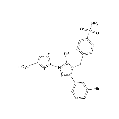 NS(=O)(=O)c1ccc(Cc2c(-c3cccc(Br)c3)nn(-c3nc(C(=O)O)cs3)c2O)cc1